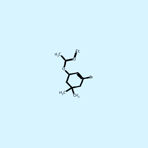 CCOC(C)OC1C=C(Br)CC(C)(C)C1